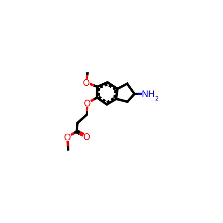 COC(=O)CCOc1cc2c(cc1OC)CC(N)C2